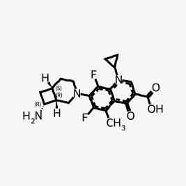 Cc1c(F)c(N2CC[C@H]3C[C@@H](N)[C@H]3C2)c(F)c2c1c(=O)c(C(=O)O)cn2C1CC1